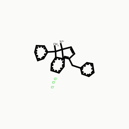 CC(c1ccccc1)(c1ccccc1)[C]1([Ti+3])C=CC(Cc2ccccc2)=C1.[Cl-].[Cl-].[Cl-]